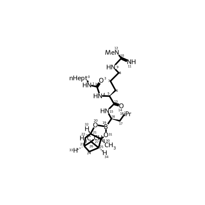 CCCCCCCNC(=O)N[C@@H](CCCNC(=N)NC)C(=O)N[C@@H](CC(C)C)B1O[C@@H]2C[C@@H]3C[C@@H](C3(C)C)[C@]2(C)O1